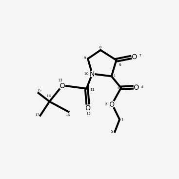 CCOC(=O)C1C(=O)CCN1C(=O)OC(C)(C)C